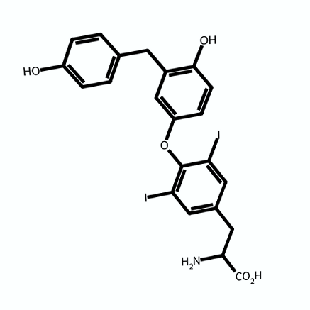 NC(Cc1cc(I)c(Oc2ccc(O)c(Cc3ccc(O)cc3)c2)c(I)c1)C(=O)O